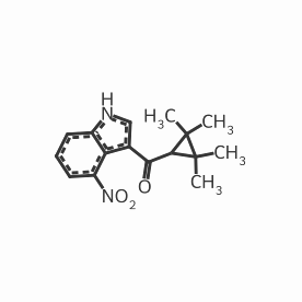 CC1(C)C(C(=O)c2c[nH]c3cccc([N+](=O)[O-])c23)C1(C)C